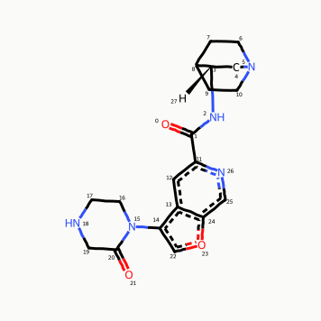 O=C(N[C@H]1CN2CCC1CC2)c1cc2c(N3CCNCC3=O)coc2cn1